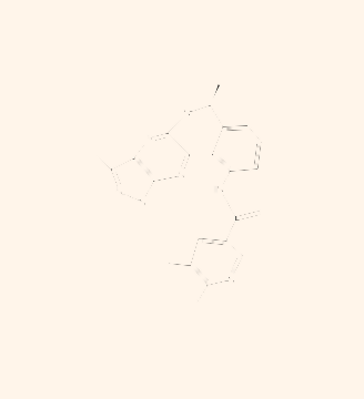 Cc1cc(C(=O)Nc2cccc([C@H](C)Nc3cnc4[nH]nc(C)c4n3)c2)cnc1C(F)(F)F